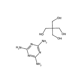 Nc1nc(N)nc(N)n1.OCC(CO)(CO)CO